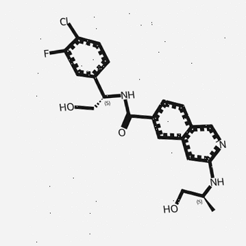 C[C@@H](CO)Nc1cc2cc(C(=O)N[C@H](CO)c3ccc(Cl)c(F)c3)ccc2cn1